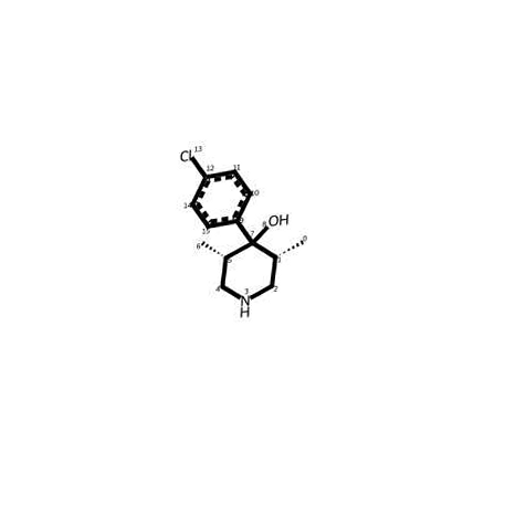 C[C@@H]1CNC[C@H](C)C1(O)c1ccc(Cl)cc1